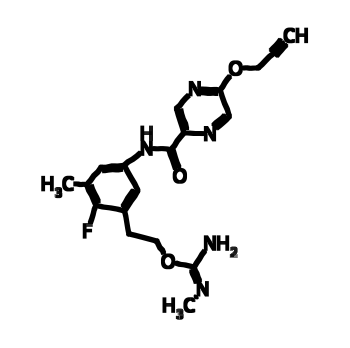 C#CCOc1cnc(C(=O)Nc2cc(C)c(F)c(CCO/C(N)=N\C)c2)cn1